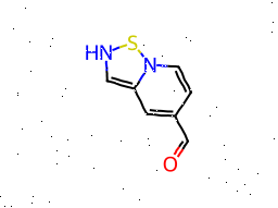 O=CC1=CC2=CNSN2C=C1